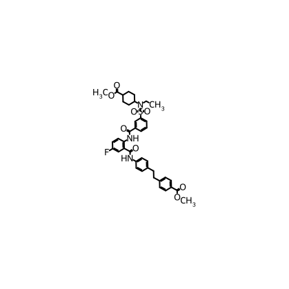 CCN(C1CCC(C(=O)OC)CC1)S(=O)(=O)c1cccc(C(=O)Nc2ccc(F)cc2C(=O)Nc2ccc(CCc3ccc(C(=O)OC)cc3)cc2)c1